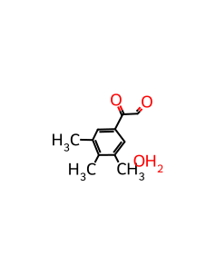 Cc1cc(C(=O)C=O)cc(C)c1C.O